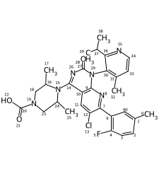 Cc1ccc(F)c(-c2nc3c(cc2Cl)c(N2C(C)CN(C(=O)O)CC2C)nc(=O)n3-c2c(C)ccnc2C(C)C)c1